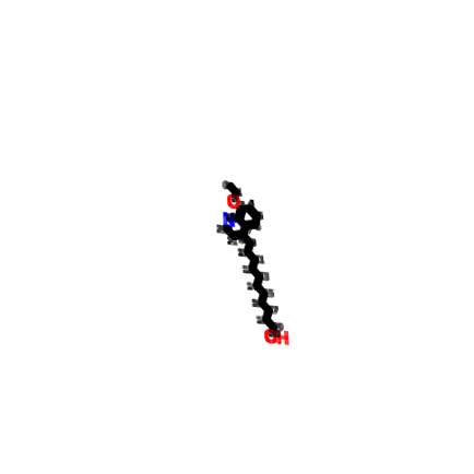 CCOc1cccc2c(CCCCCCCCCCCO)ccnc12